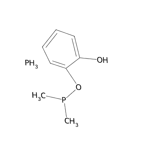 CP(C)Oc1ccccc1O.P